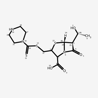 C[C@@H](O)[C@H]1C(=O)N2C(C(=O)O)C(CSC(=S)N3CCNCC3)S[C@H]12